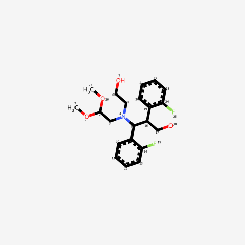 COC(CN(CCO)C(c1ccccc1F)C(C[O])c1ccccc1F)OC